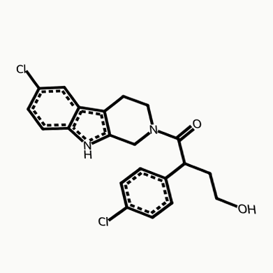 O=C(C(CCO)c1ccc(Cl)cc1)N1CCc2c([nH]c3ccc(Cl)cc23)C1